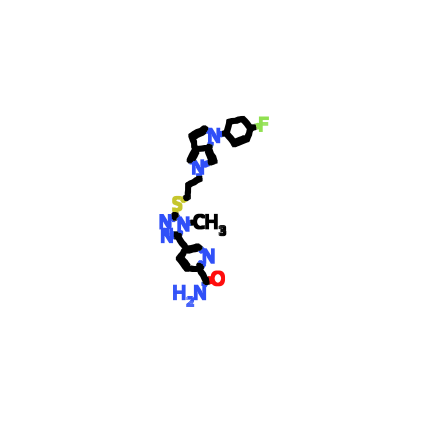 Cn1c(SCCCn2cc3ccn(C4C=CC(F)CC4)c3c2)nnc1-c1ccc(C(N)=O)nc1